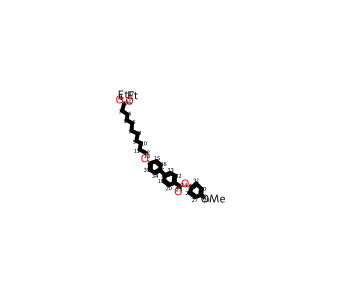 CCOC(CCCCCCCCCCOc1ccc(-c2ccc(C(=O)Oc3ccc(OC)cc3)cc2)cc1)OCC